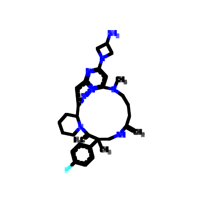 C=C1CCCN(C)c2cc(N3CC(N)C3)nc3cc(nn23)C2CCCCN2C(=C)C(C)(c2ccc(F)cc2)CN1